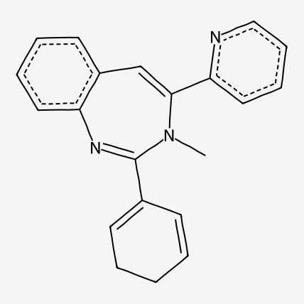 CN1C(c2ccccn2)=Cc2ccccc2N=C1C1=CCCC=C1